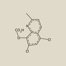 Cc1ccc2c(Cl)cc(Cl)c(OC(=O)O)c2n1